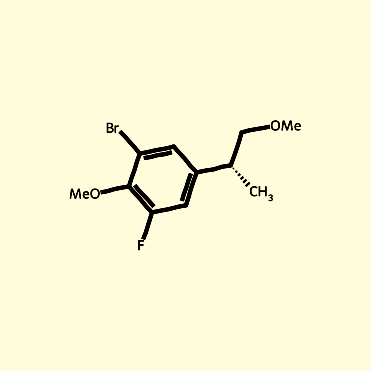 COC[C@H](C)c1cc(F)c(OC)c(Br)c1